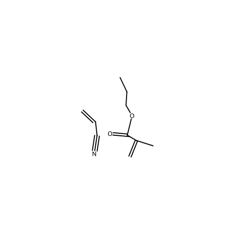 C=C(C)C(=O)OCCC.C=CC#N